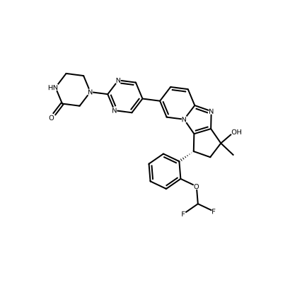 CC1(O)C[C@H](c2ccccc2OC(F)F)c2c1nc1ccc(-c3cnc(N4CCNC(=O)C4)nc3)cn21